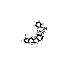 O=C1Nc2ccc(S(=O)(=O)Nc3ccccc3)cc2C1=Cc1ccc[nH]1